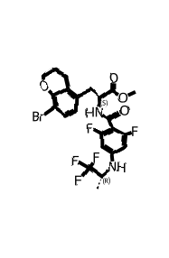 COC(=O)[C@H](Cc1ccc(Br)c2c1CCCO2)NC(=O)c1c(F)cc(N[C@H](C)C(F)(F)F)cc1F